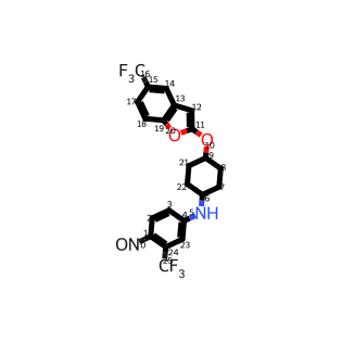 O=Nc1ccc(NC2CCC(Oc3cc4cc(C(F)(F)F)ccc4o3)CC2)cc1C(F)(F)F